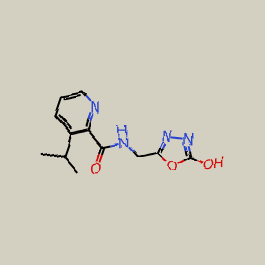 CC(C)c1cccnc1C(=O)NCc1nnc(O)o1